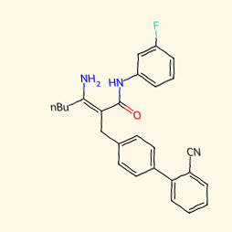 CCCC/C(N)=C(\Cc1ccc(-c2ccccc2C#N)cc1)C(=O)Nc1cccc(F)c1